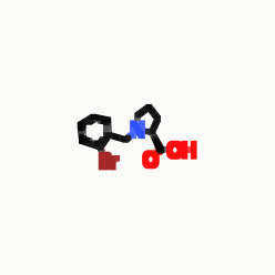 O=C(O)[C@@H]1CCCN1Cc1ccccc1Br